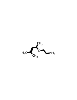 CC(C)=CC(C)OCCN